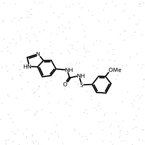 COc1cccc(SNC(=O)Nc2ccc3[nH]cnc3c2)c1